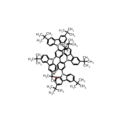 [C-]#[N+]c1cc(-c2cc(C(F)(F)F)c(-n3c4ccc(C(C)(C)C)cc4c4cc(C(C)(C)C)ccc43)cc2-n2c3ccc(C(C)(C)C)cc3c3cc(C(C)(C)C)ccc32)c(-n2c3ccc(C(C)(C)C)cc3c3cc(C(C)(C)C)ccc32)cc1-n1c2ccc(C(C)(C)C)cc2c2cc(C(C)(C)C)ccc21